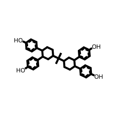 CC(C)(C1CCC(c2ccc(O)cc2)C(c2ccc(O)cc2)C1)C1CCC(c2ccc(O)cc2)C(c2ccc(O)cc2)C1